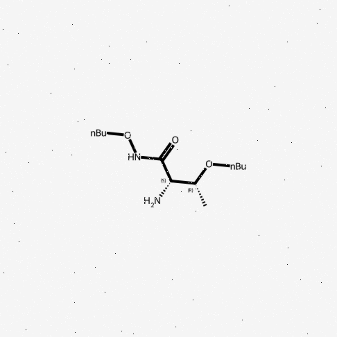 CCCCONC(=O)[C@@H](N)[C@@H](C)OCCCC